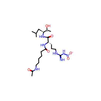 CB(O)[C@H](CC(C)C)NC(=O)[C@H](CCCNC(=N)N[N+](=O)[O-])NC(=O)CCCCCNC(C)=O